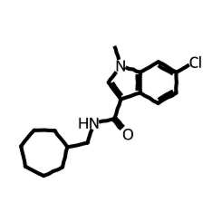 Cn1cc(C(=O)NCC2CCCCCC2)c2ccc(Cl)cc21